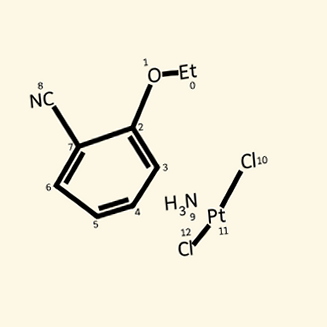 CCOc1ccccc1C#N.N.[Cl][Pt][Cl]